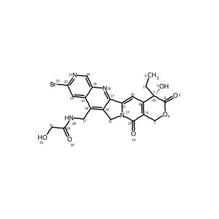 CC[C@@]1(O)C(=O)OCc2c1cc1n(c2=O)Cc2c-1nc1cnc(Br)cc1c2CNC(=O)CO